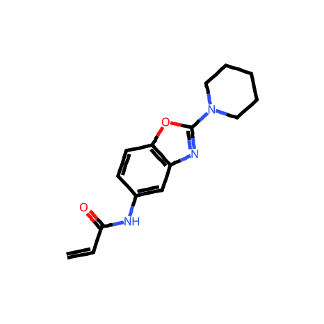 C=CC(=O)Nc1ccc2oc(N3CCCCC3)nc2c1